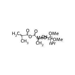 C=C(C)C(=O)OC(=O)C(=C)C.CCC[Si](OC)(OC)OC